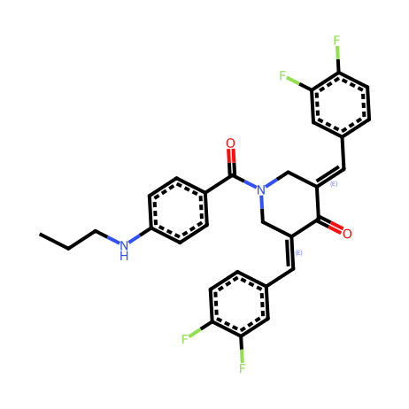 CCCNc1ccc(C(=O)N2C/C(=C\c3ccc(F)c(F)c3)C(=O)/C(=C/c3ccc(F)c(F)c3)C2)cc1